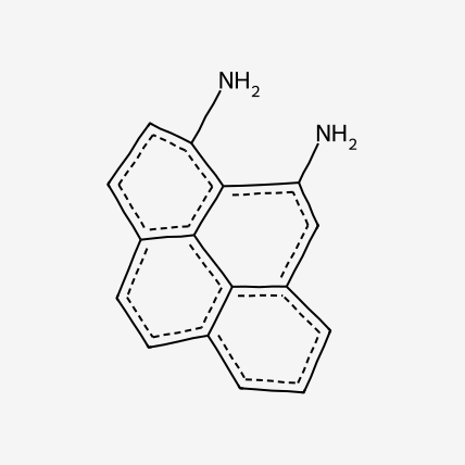 Nc1ccc2ccc3cccc4cc(N)c1c2c34